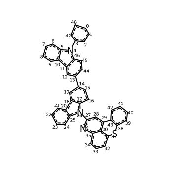 c1ccc(-n2c3ccccc3c3cc(-c4ccc5c(c4)c4ccccc4n5-c4cc5c6c(cccc6n4)Sc4ccccc4-5)ccc32)cc1